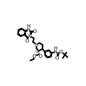 CCOC(=O)[C@@H]1CN(CCn2c(=O)[nH]c3ccccc3c2=O)CCC1c1cccc(NC(=O)OC(C)(C)C)c1